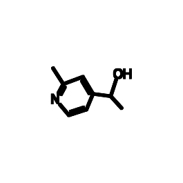 Cc1cc(C(C)O)ccn1